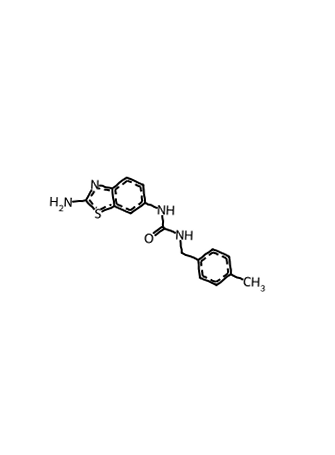 Cc1ccc(CNC(=O)Nc2ccc3nc(N)sc3c2)cc1